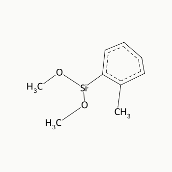 CO[Si](OC)c1ccccc1C